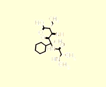 CC[C@@H](C(=N)C(=O)[C@@](C)(NC(=O)[C@H](C)NC)C1CCCCC1)C(=O)O